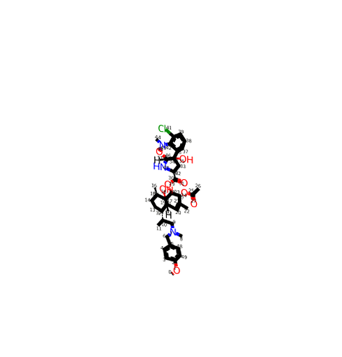 COc1ccc(CN(C)CC(C)[C@@H]2CC[C@@H](C)[C@@]3(O)[C@@H]2C=C(C)[C@@H](OC(C)=O)[C@@H]3OC(=O)[C@@H]2C[C@@]3(O)c4cccc(Cl)c4N(C)O[C@H]3N2)cc1